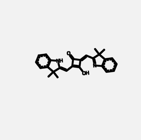 CC1(C)C(C=C2C(=O)C(C=C3Nc4ccccc4C3(C)C)=C2O)=Nc2ccccc21